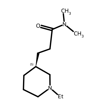 [CH2]CN1CCC[C@@H](CCC(=O)N(C)C)C1